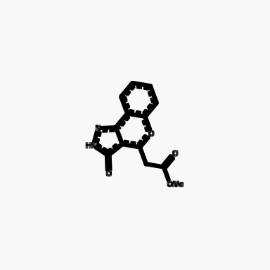 COC(=O)Cc1oc2ccccc2c2n[nH]c(=O)c1-2